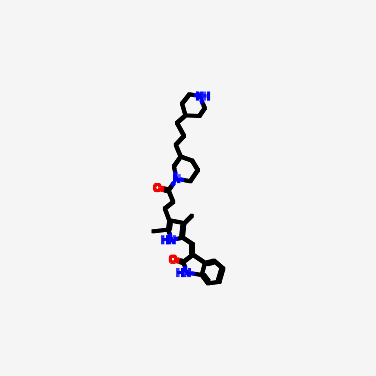 Cc1[nH]c(C=C2C(=O)Nc3ccccc32)c(C)c1CCC(=O)N1CCCC(CCCC2CCNCC2)C1